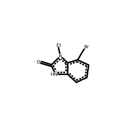 CCn1c(=O)[nH]c2cccc(Br)c21